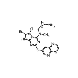 CCc1[nH]c2nc(Sc3cnc4nccnc4c3)nc(N(C)C[C@H]3CC3N)c2c1Cl